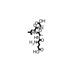 CC(C)C[C@H](NC(=O)[C@H](C)NC(=O)[C@@H](N)CCC(=O)O)C(=O)N[C@@H](C)C(=O)O